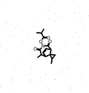 CC(C)C(=O)ON1C(=O)C(C)C2C=CC(C1=O)C21CC1C